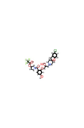 COc1ccc(C(=O)N2CC[C@H](OC(=O)C(F)(F)F)C2)c(OC[C@@H](O)CN2CCC3(CC2)Cc2cc(Cl)ccc2O3)c1